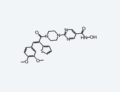 COc1ccc(C=C(C(=O)N2CCN(c3ncc(C(=O)NO)cn3)CC2)c2cccs2)cc1OC